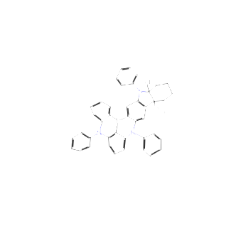 CC12CCCCC1(C)N(c1ccccc1)c1cc3c(cc12)N(c1ccccc1)c1cccc2c1B3c1ccccc1N2c1ccccc1